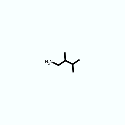 C[C](C)C(C)CN